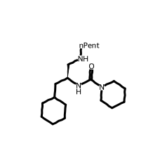 CCCCCNC[C@H](CC1CCCCC1)NC(=O)N1CCCCC1